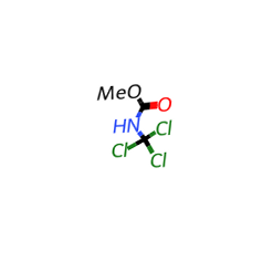 COC(=O)NC(Cl)(Cl)Cl